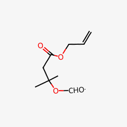 C=CCOC(=O)CC(C)(C)O[C]=O